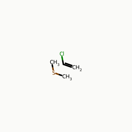 C=CCl.CSC